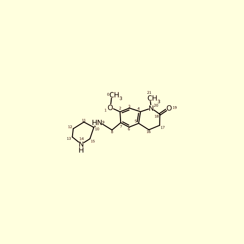 COc1cc2c(cc1CN[C@H]1CCCNC1)CCC(=O)N2C